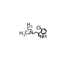 CCN(CC)CCc1c[nH]c2cccc(Cl)c12